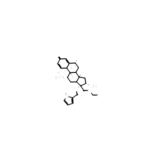 C[C@@H]1C[C@H]2[C@@H]3C[C@H](F)C4=CC(=O)C=C[C@]4(C)[C@@]3(F)[C@@H](O)C[C@]2(C)[C@@]1(OC(=O)c1cccn1C)C(=O)SCF